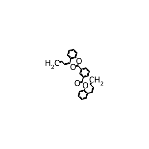 C=C/C=C\c1ccccc1OC(=O)c1cccc(C(=O)Oc2ccccc2/C=C\C=C)c1